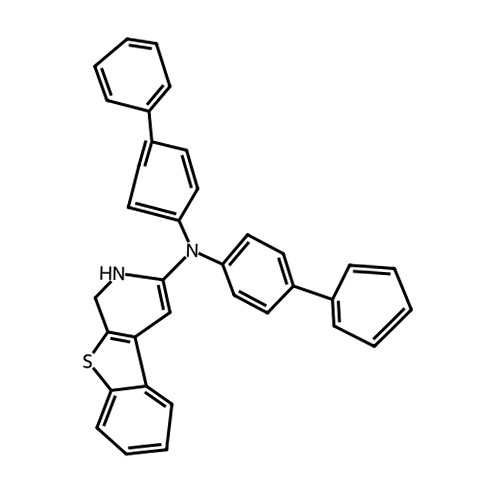 C1=C(N(c2ccc(-c3ccccc3)cc2)c2ccc(-c3ccccc3)cc2)NCc2sc3ccccc3c21